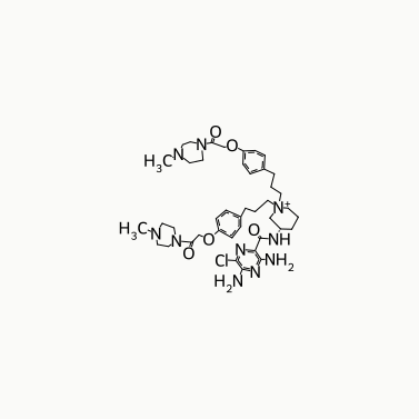 CN1CCN(C(=O)COc2ccc(CCC[N+]3(CCCc4ccc(OCC(=O)N5CCN(C)CC5)cc4)CCC[C@H](NC(=O)c4nc(Cl)c(N)nc4N)C3)cc2)CC1